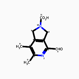 Cc1nc(C=O)c2c(c1C)CN(C(=O)O)C2